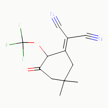 CC1(C)CC(=O)C(OC(F)(F)F)C(=C(C#N)C#N)C1